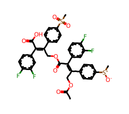 CC(=O)OCC(=C(C(=O)OCC(=C(C(=O)O)c1ccc(F)c(F)c1)c1ccc(S(C)(=O)=O)cc1)c1ccc(F)c(F)c1)c1ccc([S+](C)[O-])cc1